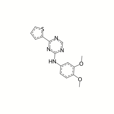 COc1ccc(Nc2ncnc(-c3cccs3)n2)cc1OC